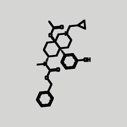 CC(=O)O[C@]12CC[C@@H](N(C)C(=O)OCc3ccccc3)C[C@]1(c1cccc(O)c1)CCN(CC1CC1)C2